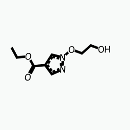 CCOC(=O)c1cnn(OCCO)c1